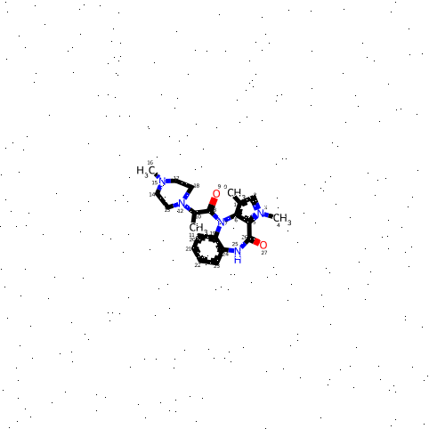 Cc1cn(C)c2c1N(C(=O)C(C)N1CCN(C)CC1)c1ccccc1NC2=O